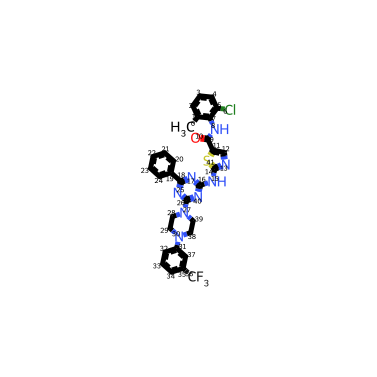 Cc1cccc(Cl)c1NC(=O)c1cnc(Nc2nc(-c3ccccc3)nc(N3CCN(c4cccc(C(F)(F)F)c4)CC3)n2)s1